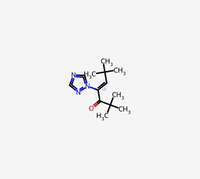 CC(C)(C)/C=C(/C(=O)C(C)(C)C)n1cncn1